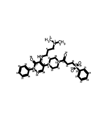 CN(C)CCCNc1c(N2CCN(C(=O)CCS(=O)(=O)c3ccccc3)CC2)cnn(-c2ccccc2)c1=O